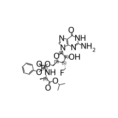 CC(C)OC(=O)[C@@H](C)N[P@@](=O)(OC[C@H]1O[C@@H](n2cnc3c(=O)[nH]c(N)nc32)[C@H](O)[C@@H]1CF)Oc1ccccc1